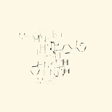 [2H]C([2H])C(C)(C)[C@H](NC(=O)OC)C(=O)N[C@@H](Cc1ccccc1)[C@@H](O)CN(NC(=O)[C@@H](NC(=O)OC)C(C)(C)C)C([2H])([2H])c1ccc(-c2ccccn2)cc1